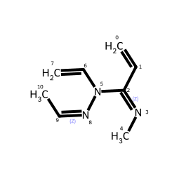 C=C/C(=N/C)N(C=C)/N=C\C